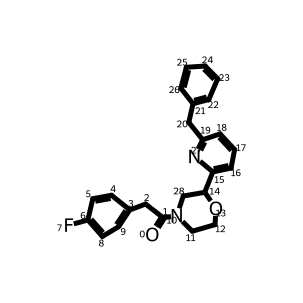 O=C(Cc1ccc(F)cc1)N1CCOC(c2cccc(Cc3ccccc3)n2)C1